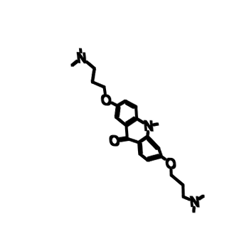 CN(C)CCCOc1ccc2c(c1)c(=O)c1ccc(OCCCN(C)C)cc1n2C